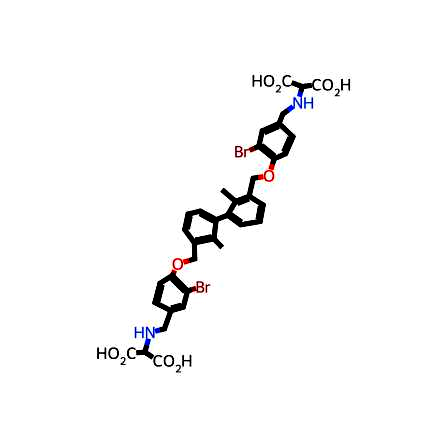 Cc1c(COc2ccc(CNC(C(=O)O)C(=O)O)cc2Br)cccc1-c1cccc(COc2ccc(CNC(C(=O)O)C(=O)O)cc2Br)c1C